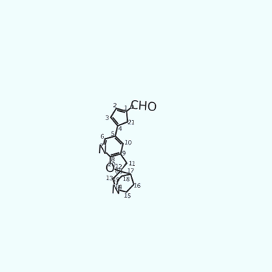 O=CC1=CC=C(c2cnc3c(c2)C[C@@]2(CN4CCC2CC4)O3)C1